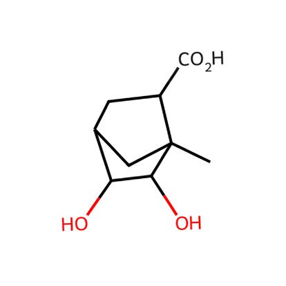 CC12CC(CC1C(=O)O)C(O)C2O